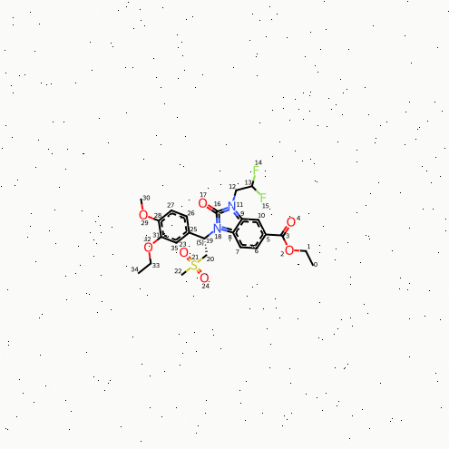 CCOC(=O)c1ccc2c(c1)n(CC(F)F)c(=O)n2[C@H](CS(C)(=O)=O)c1ccc(OC)c(OCC)c1